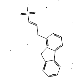 O=S(=O)(O)C=CCc1cccc2c1Cc1ccccc1-2